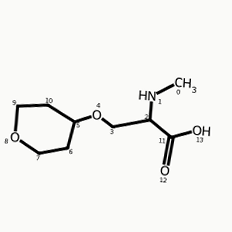 CNC(COC1CCOCC1)C(=O)O